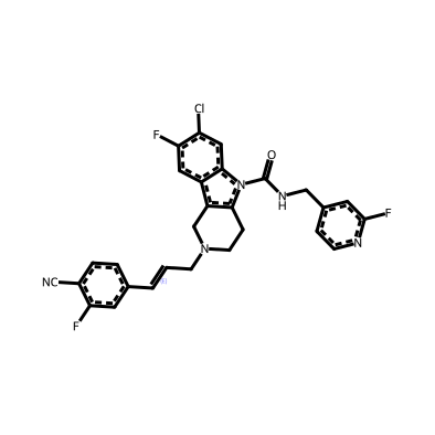 N#Cc1ccc(/C=C/CN2CCc3c(c4cc(F)c(Cl)cc4n3C(=O)NCc3ccnc(F)c3)C2)cc1F